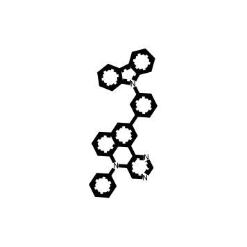 c1ccc(N2c3cncnc3-c3cc(-c4cccc(-n5c6ccccc6c6ccccc65)c4)cc4cccc2c34)cc1